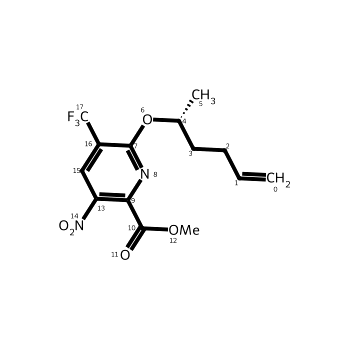 C=CCC[C@@H](C)Oc1nc(C(=O)OC)c([N+](=O)[O-])cc1C(F)(F)F